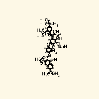 CCC(C)(C)c1ccc(ON(C(C)=O)c2cc(Oc3ccc(N=Nc4c(S(=O)(=O)O)cc5cc(N(C)C)ccc5c4O)cc3)c(C)c(Cl)c2O)c(C(C)(C)CC)c1.[NaH]